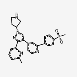 Cc1cccc(-c2nn(C3CCNC3)cc2-c2ccnc(-c3ccc(S(C)(=O)=O)cc3)c2)n1